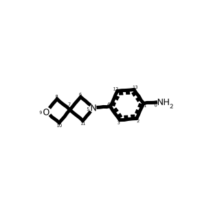 Nc1ccc(N2CC3(COC3)C2)cc1